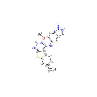 CC(C)Oc1cc2[nH]ncc2cc1Nc1ncnc2sc3c(c12)CC[C@@H](C(=O)O)C3